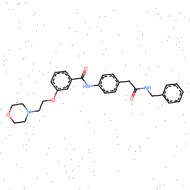 O=C(Cc1ccc(NC(=O)c2cccc(OCCN3CCOCC3)c2)cc1)NCc1ccccc1